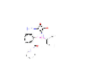 CCC(CC)Nc1c(Nc2cccc(C(=O)N3CC[C@@H](F)C3)c2O)c(=O)c1=O